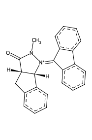 CN1C(=O)[C@H]2Cc3ccccc3[C@H]2[N+]1=C1c2ccccc2-c2ccccc21